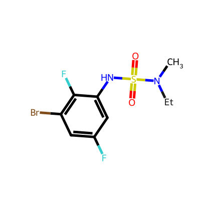 CCN(C)S(=O)(=O)Nc1cc(F)cc(Br)c1F